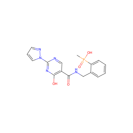 CP(=O)(O)c1ccccc1CNC(=O)c1cnc(-n2cccn2)nc1O